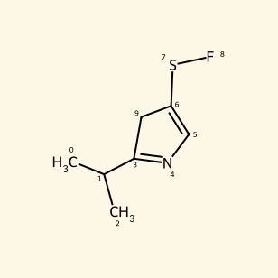 CC(C)C1=NC=C(SF)C1